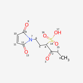 CCC(=O)C(CCN1C(=O)C=CC1=O)S(=O)(=O)O